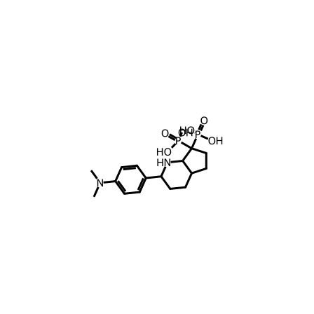 CN(C)c1ccc(C2CCC3CCC(P(=O)(O)O)(P(=O)(O)O)C3N2)cc1